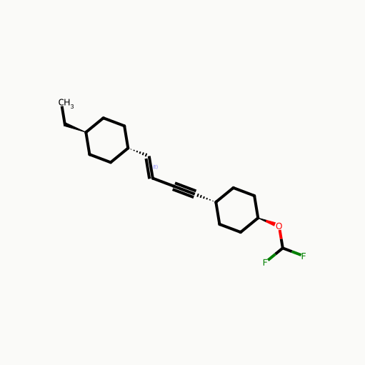 CC[C@H]1CC[C@H](/C=C/C#C[C@H]2CC[C@H](OC(F)F)CC2)CC1